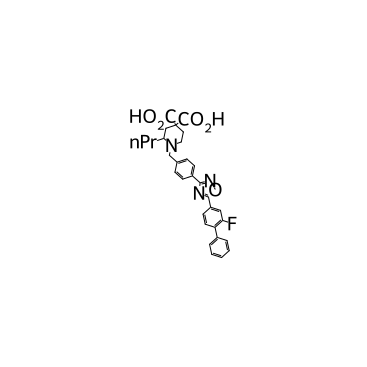 CCCC1CC(C(=O)O)(C(=O)O)CCN1Cc1ccc(-c2noc(-c3ccc(-c4ccccc4)c(F)c3)n2)cc1